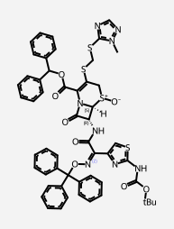 Cn1ncnc1SCSC1=C(C(=O)OC(c2ccccc2)c2ccccc2)N2C(=O)[C@@H](NC(=O)/C(=N\OC(c3ccccc3)(c3ccccc3)c3ccccc3)c3csc(NC(=O)OC(C)(C)C)n3)[C@@H]2[S+]([O-])C1